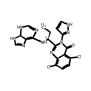 CC[C@H](NC1=C2N=CNC2NC=N1)c1nc2c(Cl)ccc(Cl)c2c(=O)n1-c1cc[nH]n1